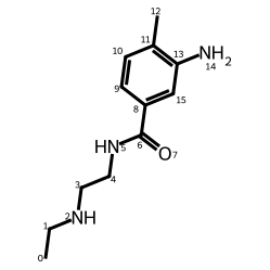 CCNCCNC(=O)c1ccc(C)c(N)c1